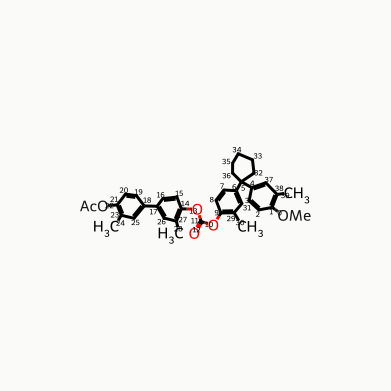 COc1ccc(C2(c3ccc(OC(=O)Oc4ccc(-c5ccc(OC(C)=O)c(C)c5)cc4C)c(C)c3)CCCCC2)cc1C